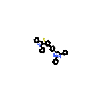 c1ccc(-c2cc(-c3ccc(-c4ccc5sc6c7ccccc7nc(-c7ccccc7)c6c5c4)cc3)nc(-c3ccccc3)n2)cc1